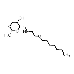 CCCCCCCOCCNC[C@@H]1O[C@H](C)OC[C@H]1O